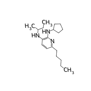 CCCCCc1ccc(NC(C)CC)c(NC2CCCC2)n1